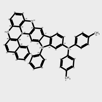 Cc1ccc(N(c2ccc(C)cc2)c2ccc3c4cc5c(cc4n(-c4ccccc4)c3c2)B2c3c(cccc3Oc3ccc4ccccc4c32)O5)cc1